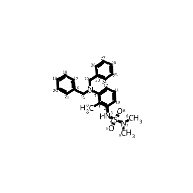 Cc1c(NS(=O)(=O)N(C)C)cccc1N(Cc1ccccc1)Cc1ccccc1